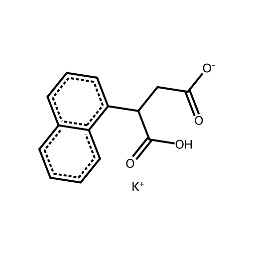 O=C([O-])CC(C(=O)O)c1cccc2ccccc12.[K+]